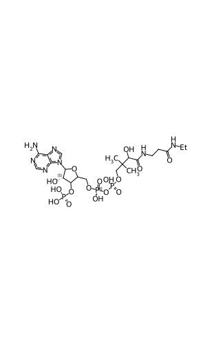 CCNC(=O)CCNC(=O)C(O)C(C)(C)COP(=O)(O)O[P@](=O)(O)OCC1OC(n2cnc3c(N)ncnc32)[C@@H](O)C1OP(=O)(O)O